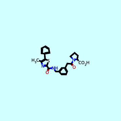 Cc1nc(C(=O)NCc2cccc(CC(=O)N3CCCC3C(=O)O)c2)sc1-c1ccccc1